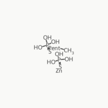 CCCC(C)C.OP(O)(O)=S.OP(O)(O)=S.[Zn]